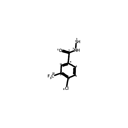 O=C(NS)c1ccc(Cl)c(C(F)(F)F)c1